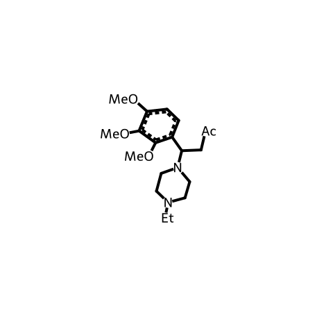 CCN1CCN(C(CC(C)=O)c2ccc(OC)c(OC)c2OC)CC1